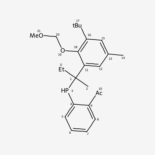 CCC(C)(Pc1ccccc1C(C)=O)c1cc(C)cc(C(C)(C)C)c1OCOC